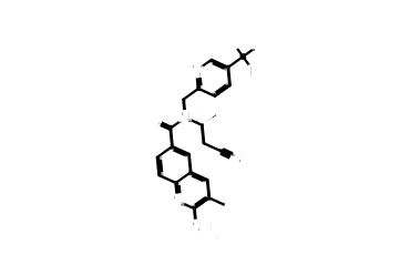 Cc1cc2cc(C(=O)N(Cc3ccc(C(F)(F)F)cn3)[C@@H](C)CC#N)ccc2nc1N